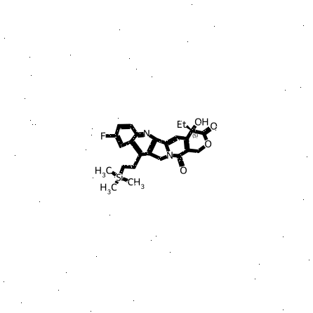 CC[C@@]1(O)C(=O)OCc2c1cc1n(c2=O)Cc2c-1nc1ccc(F)cc1c2CC[Si](C)(C)C